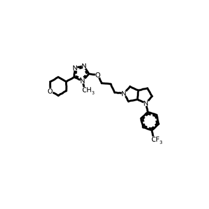 Cn1c(OCCCN2CC3CCN(c4ccc(C(F)(F)F)cc4)C3C2)nnc1C1CCOCC1